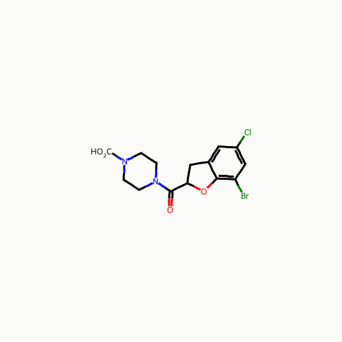 O=C(O)N1CCN(C(=O)C2Cc3cc(Cl)cc(Br)c3O2)CC1